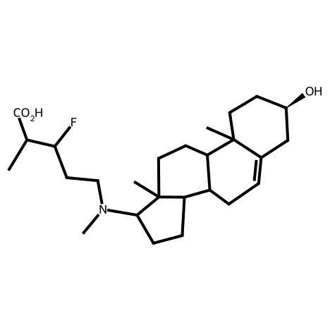 CC(C(=O)O)C(F)CCN(C)C1CCC2C3CC=C4C[C@H](O)CCC4(C)C3CCC21C